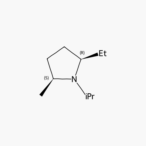 CC[C@@H]1CC[C@H](C)N1C(C)C